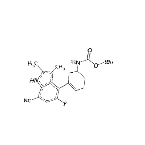 Cc1[nH]c2c(C#N)cc(F)c(C3=CCCC(NC(=O)OC(C)(C)C)C3)c2c1C